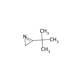 CC(C)(C)C1=NC1